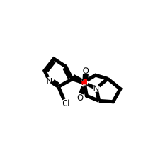 CN1CC2CCC(C1)N2S(=O)(=O)c1cccnc1Cl